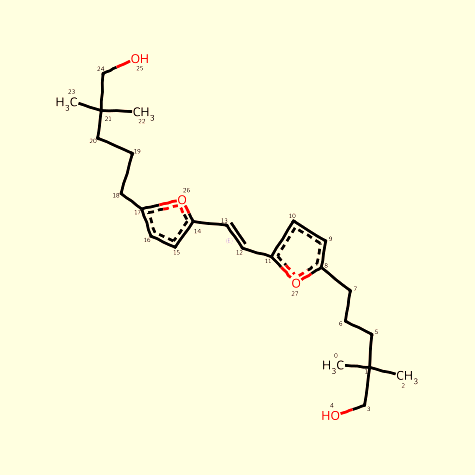 CC(C)(CO)CCCc1ccc(/C=C/c2ccc(CCCC(C)(C)CO)o2)o1